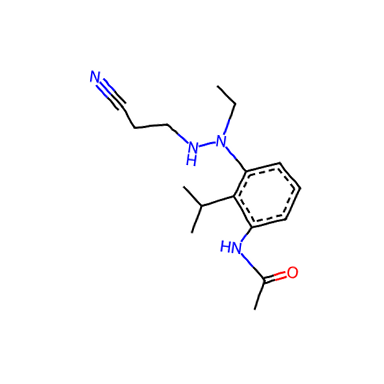 CCN(NCCC#N)c1cccc(NC(C)=O)c1C(C)C